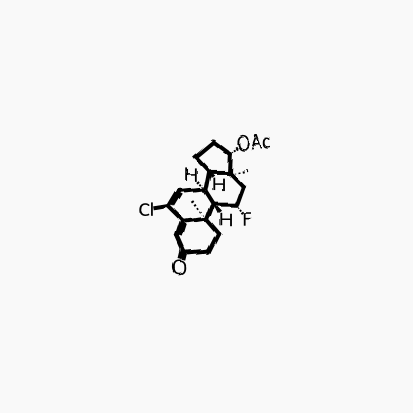 CC(=O)O[C@H]1CC[C@H]2[C@@H]3C=C(Cl)C4=CC(=O)CC[C@]4(C)[C@H]3[C@@H](F)C[C@]12C